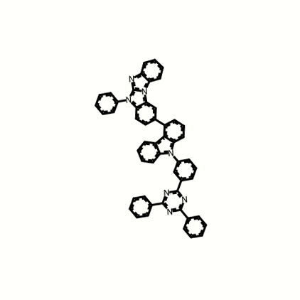 c1ccc(-c2nc(-c3ccccc3)nc(-c3cccc(-n4c5ccccc5c5c(-c6ccc7c(c6)n6c8ccccc8nc6n7-c6ccccc6)cccc54)c3)n2)cc1